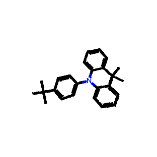 CC(C)(C)c1ccc(N2c3ccccc3C(C)(C)c3ccccc32)cc1